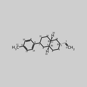 C=C[C@@H]1CC[C@@H]2CC(c3ccc(C)cc3)CC[C@@H]2C1